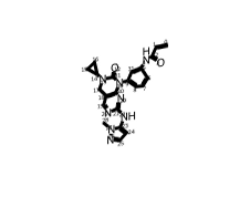 C=CC(=O)Nc1cccc(N2C(=O)N(C3CC3)Cc3cnc(Nc4ccnn4C)nc32)c1